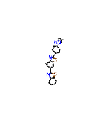 [11CH3]Nc1ccc(-c2nc3ccc(-c4nc5ccccc5s4)cc3s2)cc1